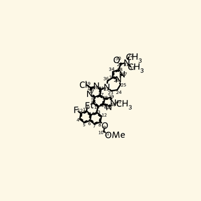 CCc1c(F)ccc2cc(OCOC)cc(-c3cc4nc(Cl)nc(N5CCCn6nc(C(=O)N(C)C)cc6C5)c4c4cn(C)nc34)c12